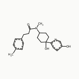 Cc1ccc(CCC(=O)N(C)C2CCC(O)(c3ccc(O)cn3)CC2)cc1